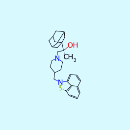 C[C@](O)(CN1CCC(CN2Sc3cccc4cccc2c34)CC1)C12CC3CC(CC(C3)C1)C2